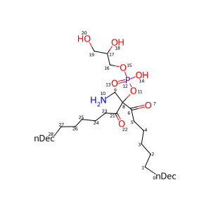 CCCCCCCCCCCCCCCC(=O)C(CN)(OP(=O)(O)OCC(O)CO)C(=O)CCCCCCCCCCCCCCC